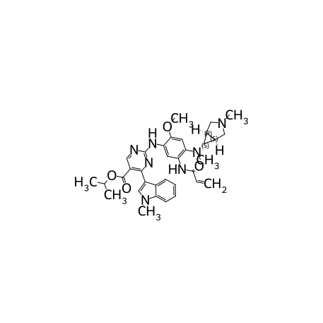 C=CC(=O)Nc1cc(Nc2ncc(C(=O)OC(C)C)c(-c3cn(C)c4ccccc34)n2)c(OC)cc1N(C)[C@H]1[C@@H]2CN(C)C[C@@H]21